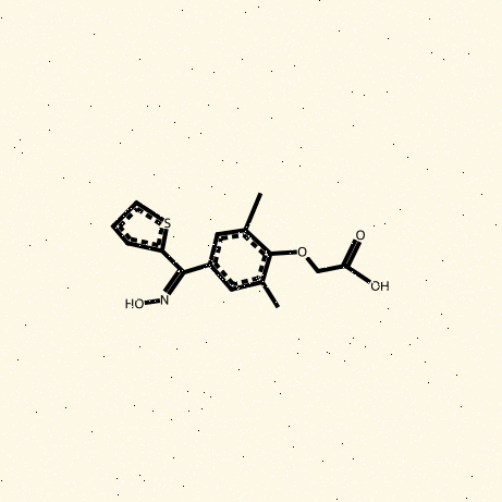 Cc1cc(C(=NO)c2cccs2)cc(C)c1OCC(=O)O